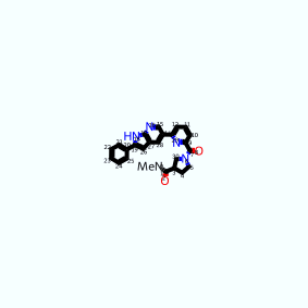 CNC(=O)C1CCN(C(=O)c2cccc(-c3cnc4[nH]c(-c5ccccc5)cc4c3)n2)C1